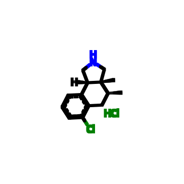 C[C@H]1Cc2c(Cl)cccc2[C@@H]2CNC[C@]12C.Cl